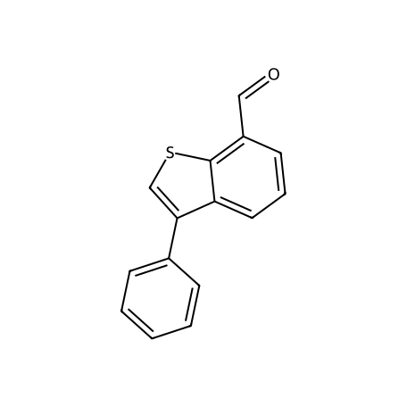 O=Cc1cccc2c(-c3ccccc3)csc12